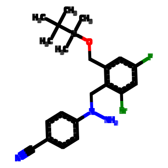 CC(C)(C)[Si](C)(C)OCc1cc(F)cc(Br)c1CN(N)c1ccc(C#N)cc1